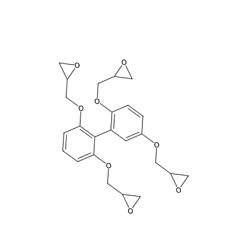 c1cc(OCC2CO2)c(-c2cc(OCC3CO3)ccc2OCC2CO2)c(OCC2CO2)c1